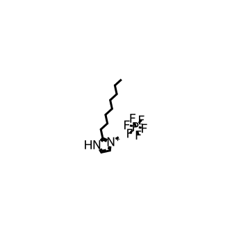 CCCCCCCCc1[nH]cc[n+]1C.F[P-](F)(F)(F)(F)F